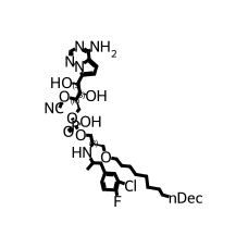 CCCCCCCCCCCCCCCCCCOC[C@H](COP(=O)(O)OC[C@@H](OC#N)[C@@H](O)[C@@H](O)c1ccc2c(N)ncnn12)NC(C)Cc1ccc(F)c(Cl)c1